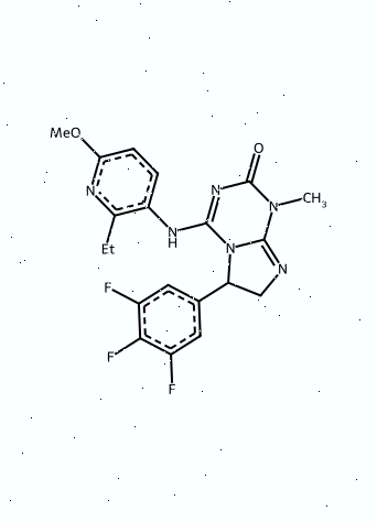 CCc1nc(OC)ccc1NC1=NC(=O)N(C)C2=NCC(c3cc(F)c(F)c(F)c3)N12